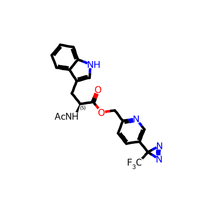 CC(=O)N[C@@H](Cc1c[nH]c2ccccc12)C(=O)OCc1ccc(C2(C(F)(F)F)N=N2)cn1